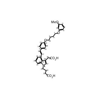 COc1cccc(OCCCCOc2ccc(C=Cc3cccc4c3c(CC(=O)O)cn4CCCC(=O)O)cc2)c1